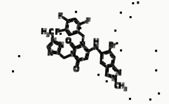 Cn1cnc(Cn2c(=O)cc(Nc3cc4cn(C)nc4cc3Br)n(Cc3cc(F)c(F)cc3F)c2=O)n1